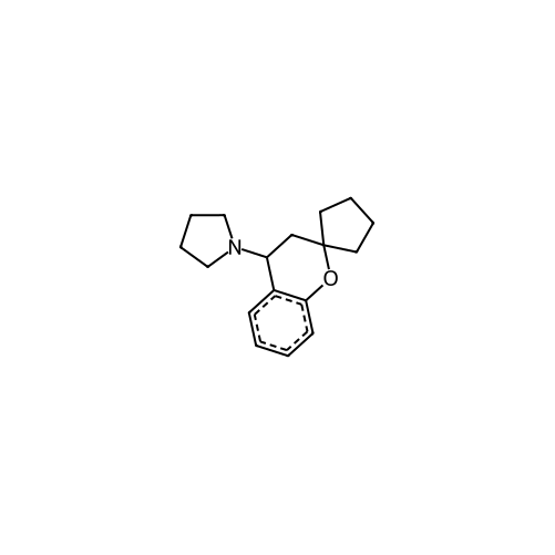 c1ccc2c(c1)OC1(CCCC1)CC2N1CCCC1